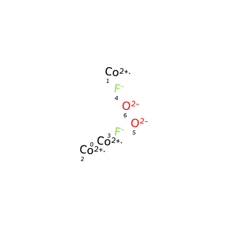 [Co+2].[Co+2].[Co+2].[F-].[F-].[O-2].[O-2]